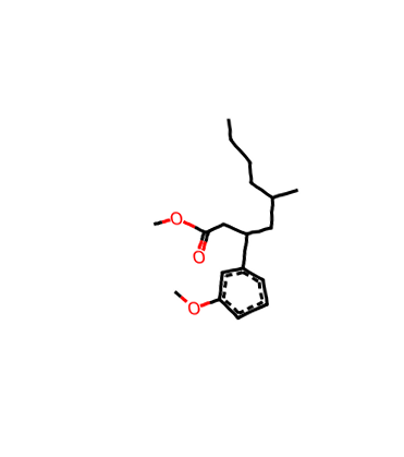 CCCCC(C)CC(CC(=O)OC)c1cccc(OC)c1